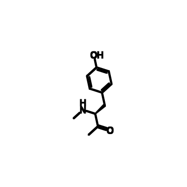 CN[C@@H](Cc1ccc(O)cc1)C(C)=O